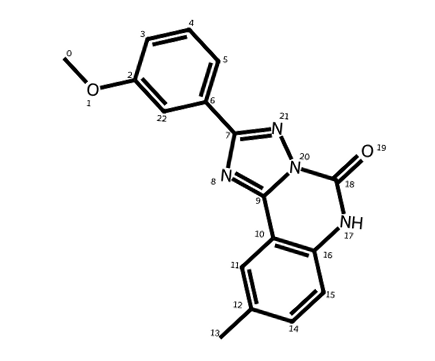 COc1cccc(-c2nc3c4cc(C)ccc4[nH]c(=O)n3n2)c1